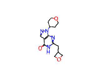 O=c1[nH]c(CC2COC2)nc2c1cnn2C1CCOCC1